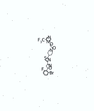 O=C(COc1cncc(C(F)(F)F)n1)N1CCC(c2nc(C3=NOC(c4c(F)cccc4Br)C3)cs2)CC1